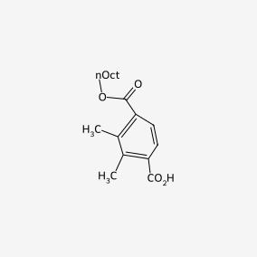 CCCCCCCCOC(=O)c1ccc(C(=O)O)c(C)c1C